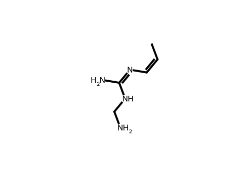 C/C=C\N=C(\N)NCN